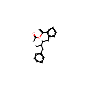 C=C(OC(C)=O)c1ccccc1CCC(C)Cc1ccccc1